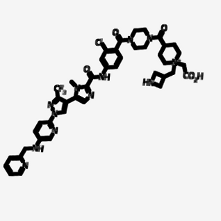 Cn1c(-c2cn(-c3ccc(NCc4ccccn4)cn3)nc2C(F)(F)F)cnc1C(=O)Nc1ccc(C(=O)N2CCN(C(=O)C3CC[N+](CC(=O)O)(CC4CNC4)CC3)CC2)c(Cl)c1